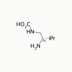 CC(C)[C@H](N)CNC(=O)O